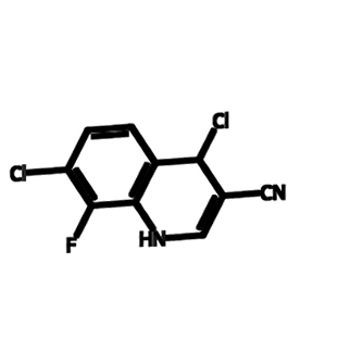 N#CC1=CNc2c(ccc(Cl)c2F)C1Cl